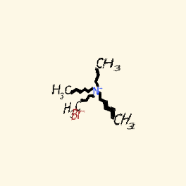 CCCCCCC[N+](CCCCC)(CCCCC)CCCCCCC.[Br-]